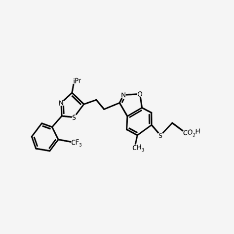 Cc1cc2c(CCc3sc(-c4ccccc4C(F)(F)F)nc3C(C)C)noc2cc1SCC(=O)O